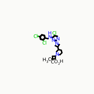 CC1(C(=O)O)CC(N2CCCC(C3CN(c4ncc(Cl)c(NCc5ccc(Cl)cc5Cl)n4)C3)C2)C1